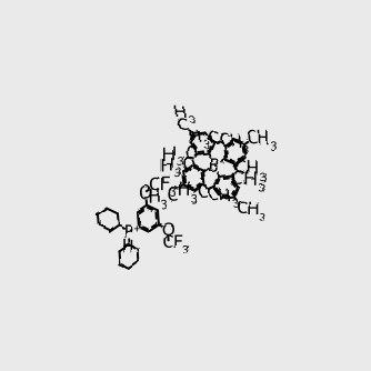 Cc1cc(C)c([B-](c2c(C)cc(C)cc2C)(c2c(C)cc(C)cc2C)c2c(C)cc(C)cc2C)c(C)c1.FC(F)(F)Oc1cc(OC(F)(F)F)cc([PH+](C2CCCCC2)C2CCCCC2)c1